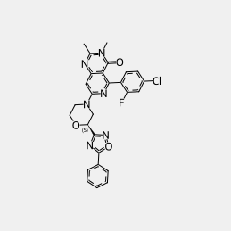 Cc1nc2cc(N3CCO[C@H](c4noc(-c5ccccc5)n4)C3)nc(-c3ccc(Cl)cc3F)c2c(=O)n1C